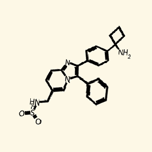 NC1(c2ccc(-c3nc4ccc(CN[SH](=O)=O)cn4c3-c3ccccc3)cc2)CCC1